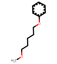 COCCCCCOc1cc[c]cc1